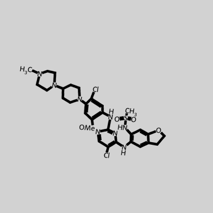 COc1cc(N2CCC(N3CCN(C)CC3)CC2)c(Cl)cc1Nc1ncc(Cl)c(Nc2cc3c(cc2NS(C)(=O)=O)OCC3)n1